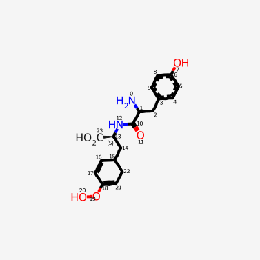 NC(Cc1ccc(O)cc1)C(=O)N[C@@H](CC1C=CC(OO)=CC1)C(=O)O